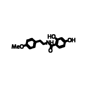 COc1ccc(CCNC(=O)c2ccc(O)cc2O)cc1